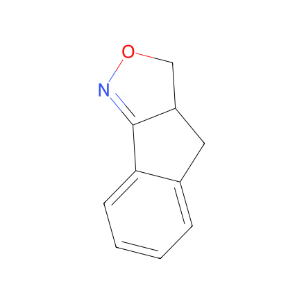 c1ccc2c(c1)CC1CON=C21